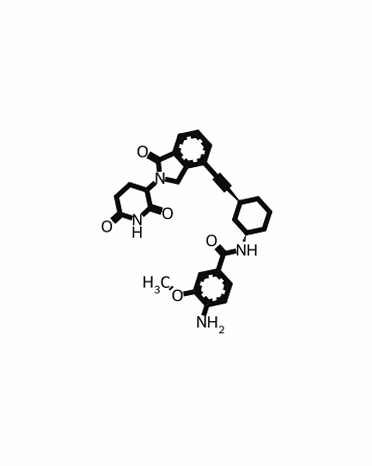 COc1cc(C(=O)N[C@H]2CCC[C@H](C#Cc3cccc4c3CN(C3CCC(=O)NC3=O)C4=O)C2)ccc1N